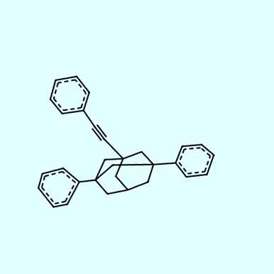 C(#CC12CC3CC(c4ccccc4)(C1)CC(c1ccccc1)(C3)C2)c1ccccc1